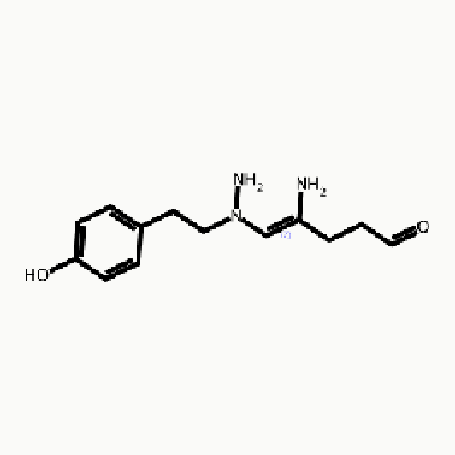 N/C(=C\N(N)CCc1ccc(O)cc1)CCC=O